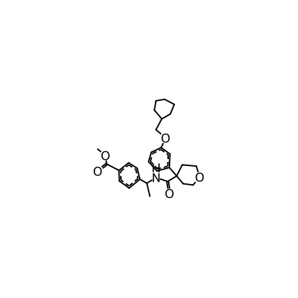 COC(=O)c1ccc(C(C)NC(=O)C2(c3cccc(OCC4CCCCC4)c3)CCOCC2)cc1